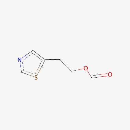 O=COCCc1cncs1